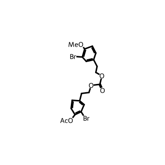 COc1ccc(CCOC(=O)OCCc2ccc(OC(C)=O)c(Br)c2)cc1Br